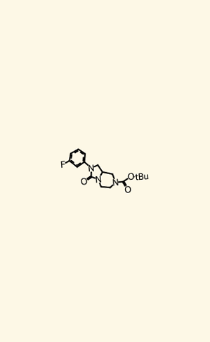 CC(C)(C)OC(=O)N1CCN2C(=O)N(c3cccc(F)c3)CC2C1